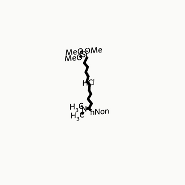 CCCCCCCCCC(CCCCCCCCCCC[Si](OC)(OC)OC)N(C)C.Cl